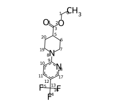 CCOC(=O)C1CCN(c2ccc(C(F)(F)F)cn2)CC1